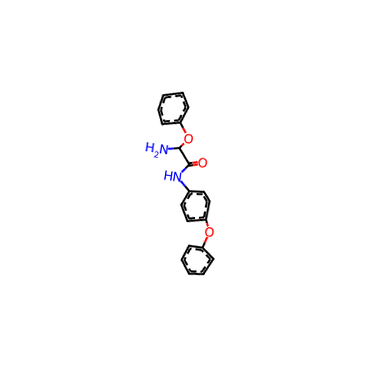 NC(Oc1ccccc1)C(=O)Nc1ccc(Oc2ccccc2)cc1